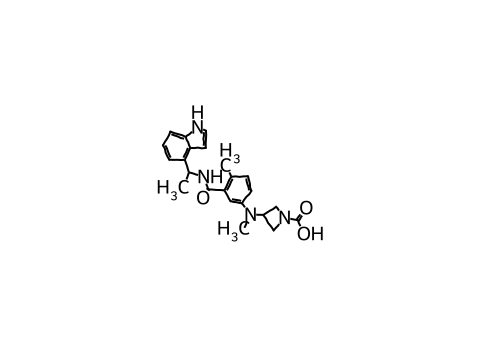 Cc1ccc(N(C)C2CN(C(=O)O)C2)cc1C(=O)NC(C)c1cccc2[nH]ccc12